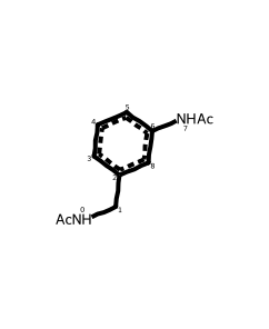 CC(=O)NCc1cccc(NC(C)=O)c1